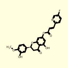 COc1ccc([C@@H]2CC(=O)c3c(O)cc(OC(=O)/C=C/c4ccc(F)cn4)cc3O2)cc1O